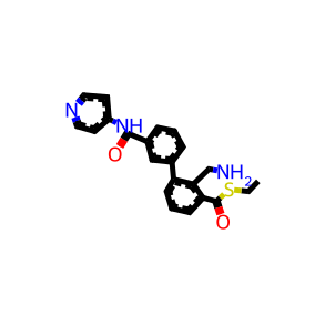 CCSC(=O)c1cccc(-c2cccc(C(=O)Nc3ccncc3)c2)c1CN